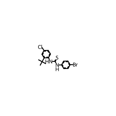 CC(C)(C)c1cc(Cl)ccc1NC(=S)Nc1ccc(Br)cc1